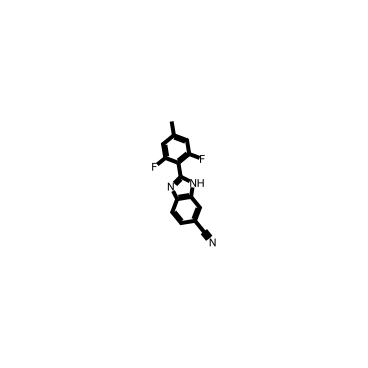 Cc1cc(F)c(-c2nc3ccc(C#N)cc3[nH]2)c(F)c1